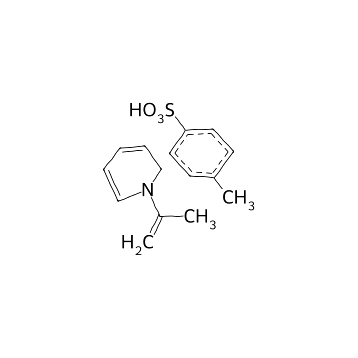 C=C(C)N1C=CC=CC1.Cc1ccc(S(=O)(=O)O)cc1